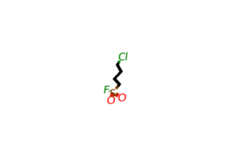 O=S(=O)(F)CCCCCl